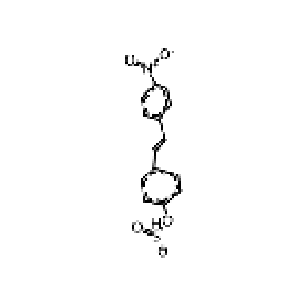 O=[N+]([O-])c1ccc(C=Cc2ccc(O[SH](=O)=O)cc2)cc1